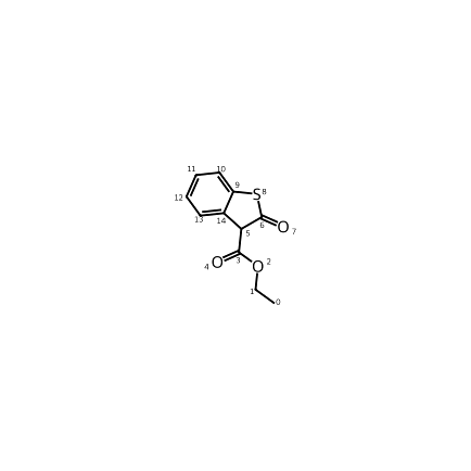 CCOC(=O)C1C(=O)Sc2ccccc21